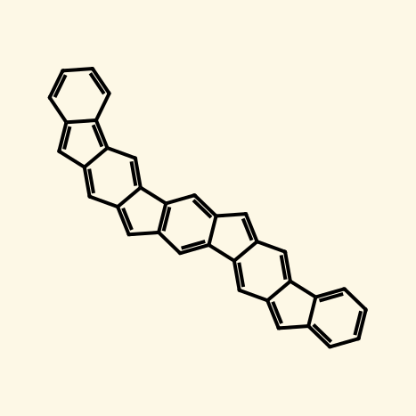 C1=c2cc3c(cc2-c2ccccc21)=Cc1cc2c(cc1-3)C=c1cc3c(cc1-2)=c1ccccc1=C3